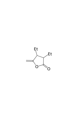 C=C1OC(=O)C(CC)C1CC